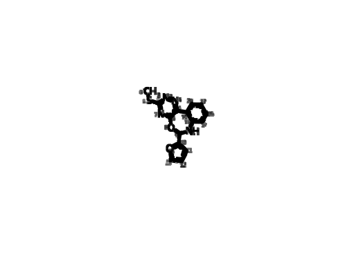 CSc1nnc2c(n1)OC(c1ccco1)Nc1ccccc1-2